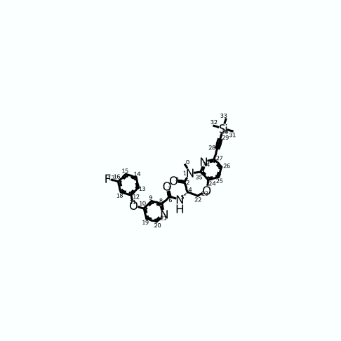 CN1C(=O)[C@@H](NC(=O)c2cc(Oc3cccc(F)c3)ccn2)COc2ccc(C#C[Si](C)(C)C)nc21